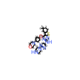 CC1(C)CCc2sc3nc(Nc4cnc(N5CCNCC5)nc4)nc(O[C@H]4CC[C@H](N5CCOCC5)CC4)c3c2C1